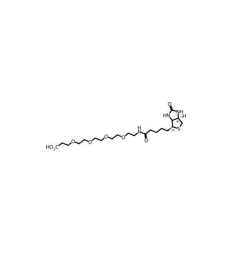 O=C(O)CCOCCOCCOCCOCCNC(=O)CCCC[C@@H]1SC[C@@H]2NC(=O)NC21